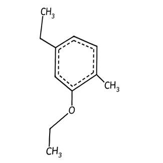 CCOc1cc(CC)ccc1C